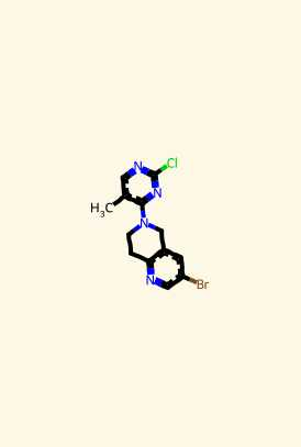 Cc1cnc(Cl)nc1N1CCc2ncc(Br)cc2C1